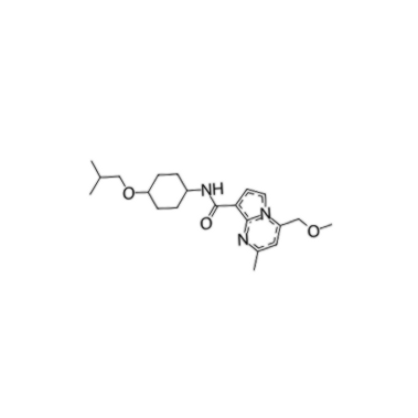 COCc1cc(C)nc2c(C(=O)NC3CCC(OCC(C)C)CC3)ccn12